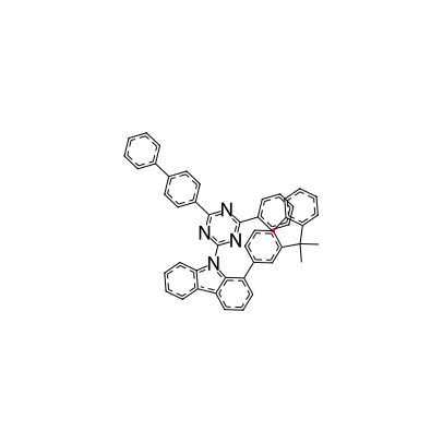 CC1(C)c2ccccc2-c2ccc(-c3cccc4c5ccccc5n(-c5nc(-c6ccccc6)nc(-c6ccc(-c7ccccc7)cc6)n5)c34)cc21